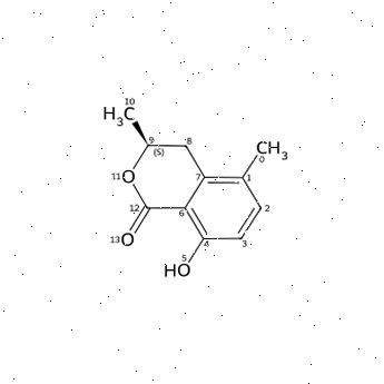 Cc1ccc(O)c2c1C[C@H](C)OC2=O